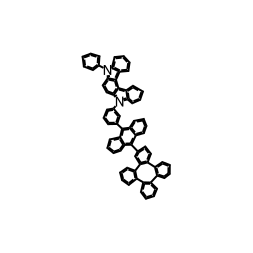 c1ccc(-n2c3ccccc3c3c4c5ccccc5n(-c5cccc(-c6c7ccccc7c(-c7ccc8c(c7)-c7ccccc7-c7ccccc7-c7ccccc7-8)c7ccccc67)c5)c4ccc32)cc1